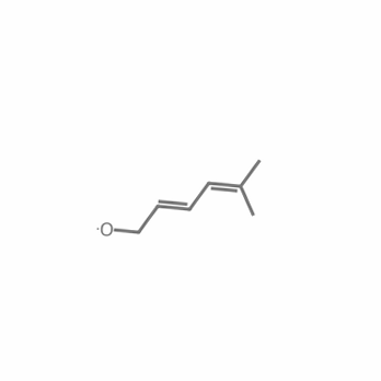 CC(C)=C/C=C/C[O]